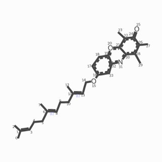 CC(C)=CCC/C(C)=C/CC/C(C)=C/COc1ccc2oc3c(C)c(=O)c(C)c(C)c-3nc2c1